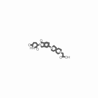 O=C(O)CN1CCC2(CC1)CCN(c1ccc3c(c1)CN(C1CCC(=O)NC1=O)C3=O)CC2